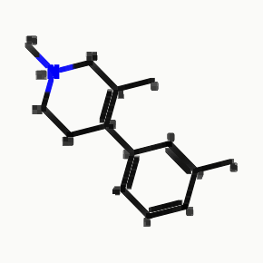 CC1=C(c2cccc(C)c2)CCN(C)C1